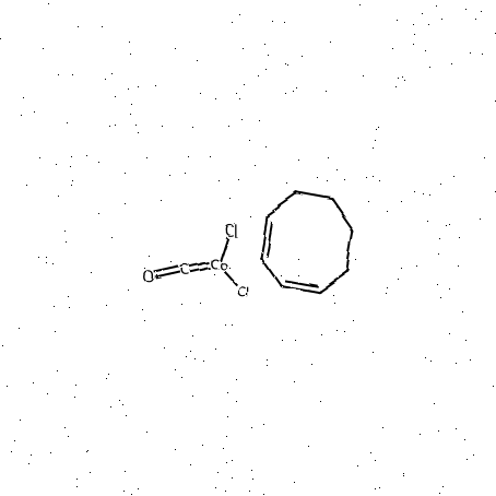 C1=CCCCCC=C1.O=[C]=[Co]([Cl])[Cl]